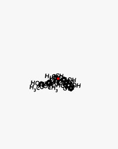 CC[C@@]1(O)CCc2c(O)c3c(c(O)c2[C@H]1O[C@H]1C[C@H](N(C)C)[C@H](O[C@H]2CC[C@H](O[C@H]4CC[C@H](O)[C@H](C)O4)[C@H](C)O2)[C@H](C)O1)C(=O)c1cccc(O)c1C3=O